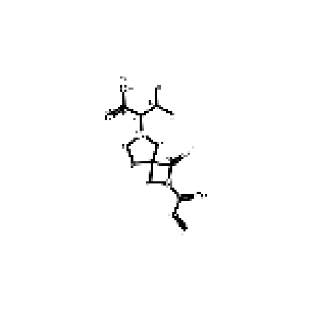 C=CC(=O)N1CC2(CCN(C(C(=O)O)C(C)C)C2)C1=O